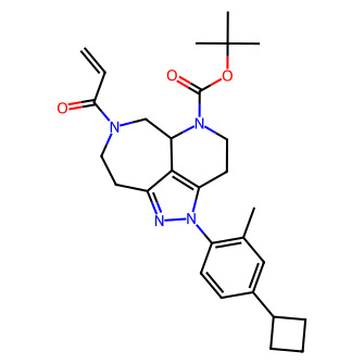 C=CC(=O)N1CCc2nn(-c3ccc(C4CCC4)cc3C)c3c2C(C1)N(C(=O)OC(C)(C)C)CC3